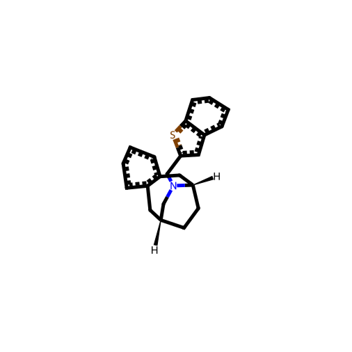 c1ccc2c(c1)C[C@H]1CC[C@@H](C2)N(Cc2cc3ccccc3s2)C1